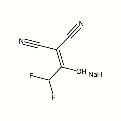 N#CC(C#N)=C(O)C(F)F.[NaH]